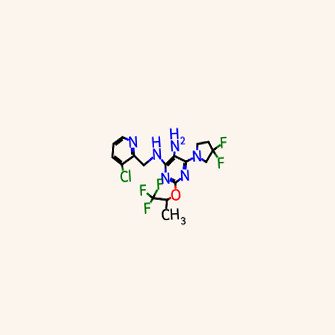 CC(Oc1nc(NCc2ncccc2Cl)c(N)c(N2CCC(F)(F)C2)n1)C(F)(F)F